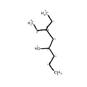 CCCC(O)CC(CC)CC